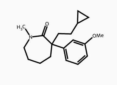 COc1cccc(C2(CCC3CC3)CCCCN(C)C2=O)c1